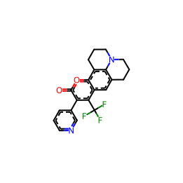 O=c1oc2c3c4c(cc2c(C(F)(F)F)c1-c1cccnc1)CCCN4CCC3